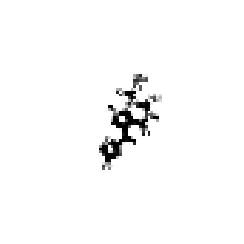 CC(c1cc(Br)cs1)c1cn(C)cc1C(=O)N(C)C(=N)NC(=O)OC(C)(C)C